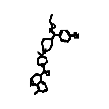 CCO/N=C(\c1ccc(Br)cc1)C1CCN(C2(C)CCN(C(=O)c3ccnc4c(C)cccc34)CC2)CC1